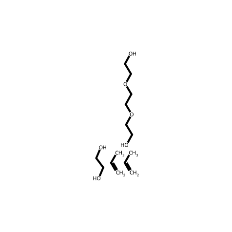 C=CC.C=CC.OCCO.OCCOCCOCCO